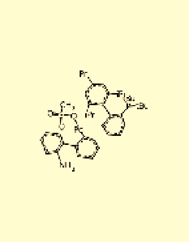 CC(C)c1cc(C(C)C)c(-c2ccccc2P(C(C)(C)C)C(C)(C)C)c(C(C)C)c1.CS(=O)(=O)[O][Pd][c]1ccccc1-c1ccccc1N